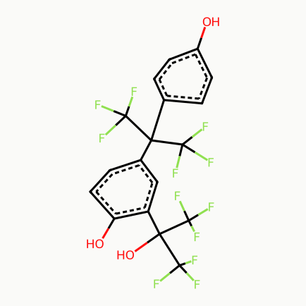 Oc1ccc(C(c2ccc(O)c(C(O)(C(F)(F)F)C(F)(F)F)c2)(C(F)(F)F)C(F)(F)F)cc1